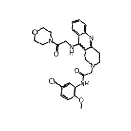 COc1ccc(Cl)cc1NC(=O)CN1CCc2nc3ccccc3c(NCC(=O)N3CCOCC3)c2C1